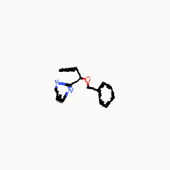 C=CC(OCc1ccccc1)c1ncccn1